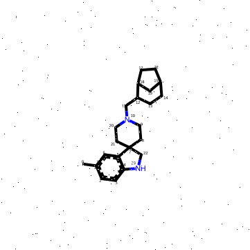 Cc1ccc2c(c1)C1(CCN(CC3CCC4CCC3C4)CC1)CN2